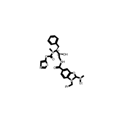 CCN(C)C1Oc2cc(C(=O)NC[C@H](O)[C@H](Cc3ccccc3)N(C)C(=O)Oc3cncs3)ccc2N1CC(C)C